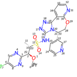 CC(C)O[C@@H](c1ncc(Cl)cn1)[C@H](C)S(=O)(=O)Nc1nnc2n1[C@@H](c1cccnc1)COc1ncccc1-2